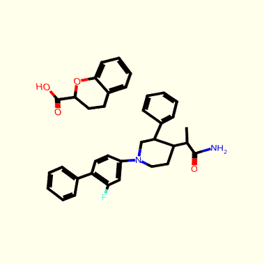 CC(C(N)=O)C1CCN(c2ccc(-c3ccccc3)c(F)c2)CC1c1ccccc1.O=C(O)C1CCc2ccccc2O1